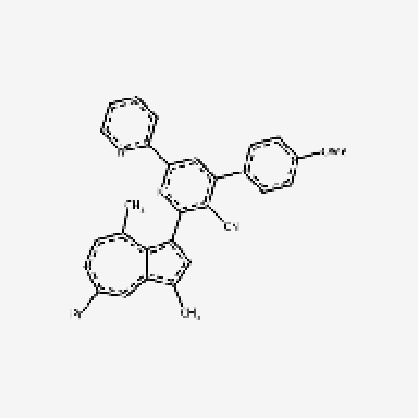 COc1ccc(-c2cc(-c3ccccn3)nc(-c3cc(C)c4cc(C(C)C)ccc(C)c3-4)c2C#N)cc1